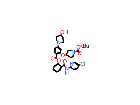 CC(C)(C)OC(=O)N1CCC(Oc2cc(N3CCC(O)CC3)ccc2C(=O)Oc2ccccc2C(=O)Nc2ccc(Cl)cn2)CC1